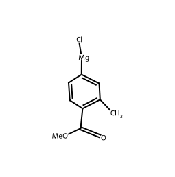 COC(=O)c1cc[c]([Mg][Cl])cc1C